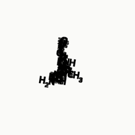 Cc1ccc2c(Nc3ccc(OCCN4CCOCC4)cc3F)nccc2c1NC(=O)c1cccc2c(N)ncnc12